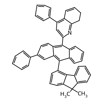 CC1(C)c2ccccc2-c2c(-c3c4ccccc4c(-c4cc(-c5ccccc5)c5c(n4)CCC=C5)c4ccc(-c5ccccc5)cc34)cccc21